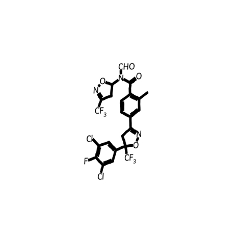 Cc1cc(C2=NOC(c3cc(Cl)c(F)c(Cl)c3)(C(F)(F)F)C2)ccc1C(=O)N(C=O)C1CC(C(F)(F)F)=NO1